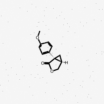 COc1ccc([C@]23C[C@H]2COC3=O)cc1